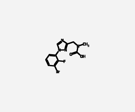 CN(Cc1ncn(-c2cccc(Br)c2F)n1)C(=O)O